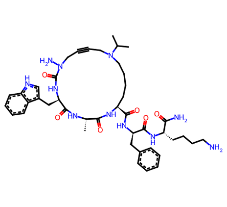 CC(C)N1CC#CCN(N)C(=O)N[C@H](Cc2c[nH]c3ccccc23)C(=O)N[C@@H](C)C(=O)N[C@H](C(=O)N[C@H](Cc2ccccc2)C(=O)N[C@@H](CCCCN)C(N)=O)CCCC1